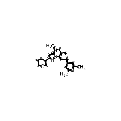 Cc1cc(-c2ccc3c(c2)-n2nc(C4CCCOC4)cc2N(C)C3)cc(C)n1